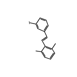 Cc1cccc(C)c1/C=C/c1cccc(I)c1